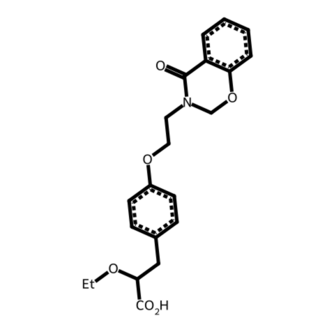 CCOC(Cc1ccc(OCCN2COc3ccccc3C2=O)cc1)C(=O)O